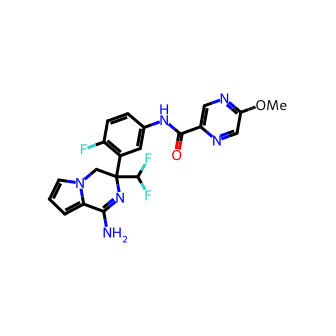 COc1cnc(C(=O)Nc2ccc(F)c(C3(C(F)F)Cn4cccc4C(N)=N3)c2)cn1